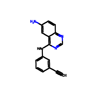 C#Cc1cccc([AsH]c2ncnc3ccc(N)cc23)c1